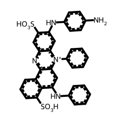 Nc1ccc(Nc2cc3c(cc2S(=O)(=O)O)nc2c4cccc(S(=O)(=O)O)c4c(Nc4ccccc4)cc2[n+]3-c2ccccc2)cc1